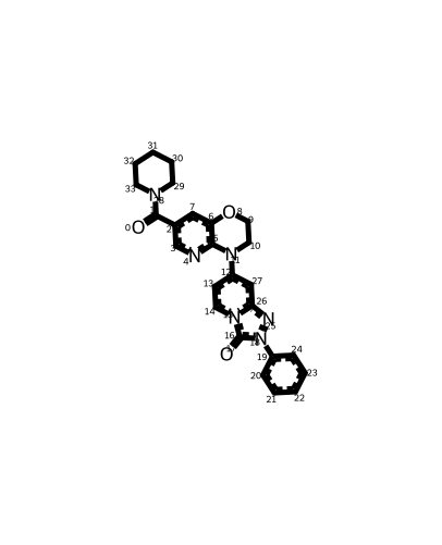 O=C(c1cnc2c(c1)OCCN2c1ccn2c(=O)n(-c3ccccc3)nc2c1)N1CCCCC1